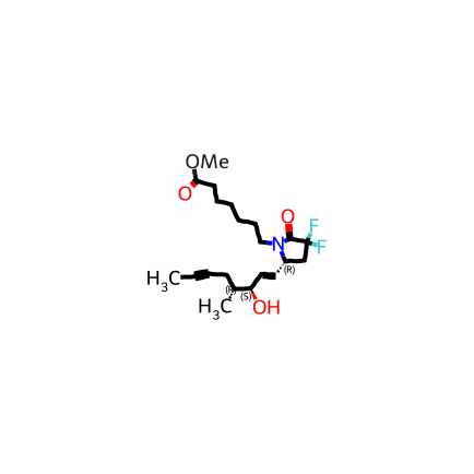 CC#CC[C@@H](C)[C@H](O)C=C[C@H]1CC(F)(F)C(=O)N1CCCCCCC(=O)OC